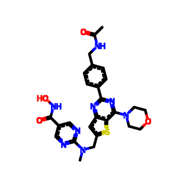 CC(=O)NCc1ccc(-c2nc(N3CCOCC3)c3sc(CN(C)c4ncc(C(=O)NO)cn4)cc3n2)cc1